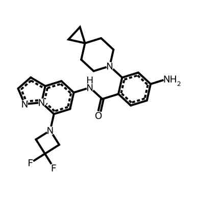 Nc1ccc(C(=O)Nc2cc(N3CC(F)(F)C3)n3nccc3c2)c(N2CCC3(CC2)CC3)c1